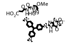 CN(C)c1ccc(C(=C2C=CC(=[N+](C)C)C=C2)c2ccc(N(C)C)cc2)cc1.COC(CNC(=O)NC(=O)CCC(=O)O)[CH2][Hg][OH].Cn1c(=O)c2[nH]cnc2n(C)c1=O.[Cl-]